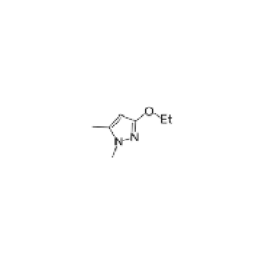 CCOc1cc(C)n(C)n1